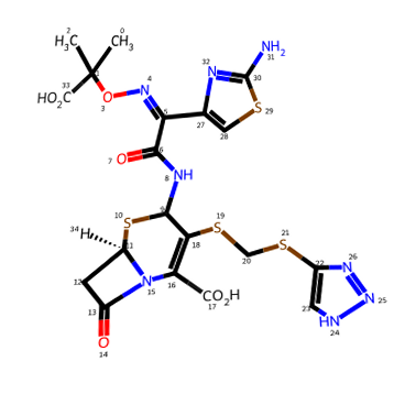 CC(C)(O/N=C(\C(=O)NC1S[C@@H]2CC(=O)N2C(C(=O)O)=C1SCSc1c[nH]nn1)c1csc(N)n1)C(=O)O